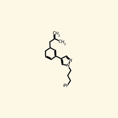 C=C(C)CC1C=C(c2cnn(CCCC(C)C)c2)C=CC1